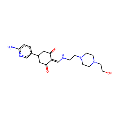 Nc1ccc(C2CC(=O)C(=CNCCN3CCN(CCO)CC3)C(=O)C2)cn1